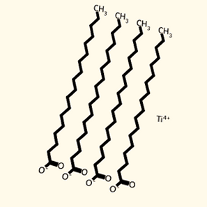 CCCCCCCCCCCCCCCCCC(=O)[O-].CCCCCCCCCCCCCCCCCC(=O)[O-].CCCCCCCCCCCCCCCCCC(=O)[O-].CCCCCCCCCCCCCCCCCC(=O)[O-].[Ti+4]